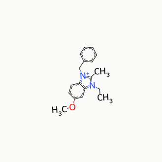 CCn1c(C)[n+](Cc2ccccc2)c2ccc(OC)cc21